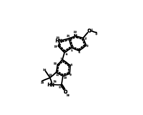 COc1ccc2c(-c3ccc4c(c3)C(C)(C)NC4=O)c[nH]c2n1